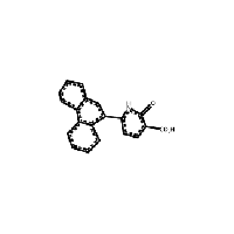 O=C(O)c1ccc(-c2cc3ccccc3c3ccccc23)[nH]c1=O